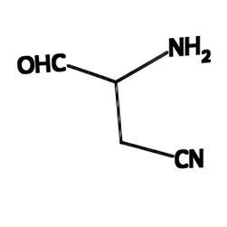 N#CCC(N)C=O